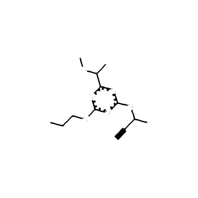 C#CC(C)Nc1nc(NCCC)nc(C(C)OC)n1